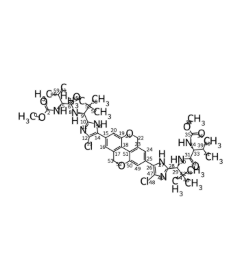 COC(=O)N[C@H](C(=O)N[C@H](c1nc(Cl)c(-c2cc3c4c(c2)OCc2cc(-c5[nH]c([C@@H](NC(=O)[C@@H](NC(=O)OC)C(C)C)C(C)(C)C)nc5Cl)cc(c2-4)OC3)[nH]1)C(C)(C)C)C(C)C